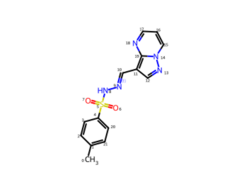 Cc1ccc(S(=O)(=O)N/N=C/c2cnn3cccnc23)cc1